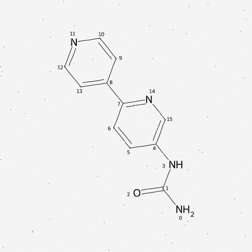 NC(=O)Nc1ccc(-c2ccncc2)nc1